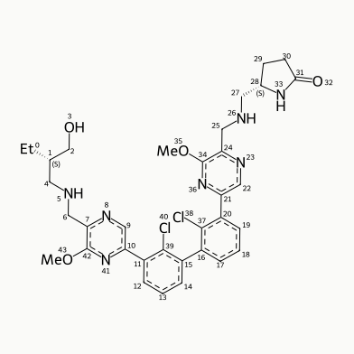 CC[C@H](CO)CNCc1ncc(-c2cccc(-c3cccc(-c4cnc(CNC[C@@H]5CCC(=O)N5)c(OC)n4)c3Cl)c2Cl)nc1OC